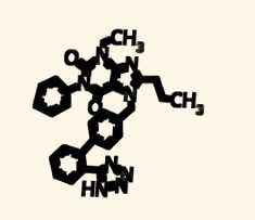 CCCc1nc2c(c(=O)n(-c3ccccc3)c(=O)n2CC)n1Cc1ccc(-c2ccccc2-c2nnn[nH]2)cc1